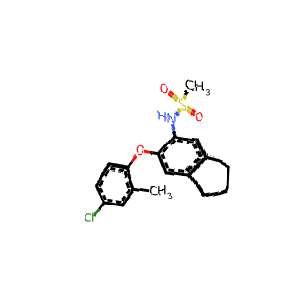 Cc1cc(Cl)ccc1Oc1cc2c(cc1NS(C)(=O)=O)CCC2